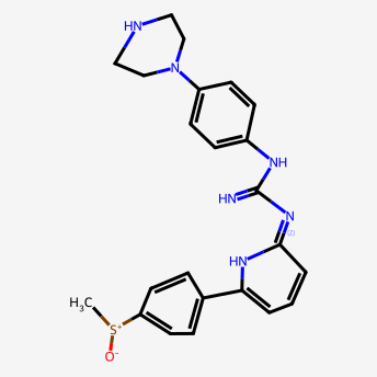 C[S+]([O-])c1ccc(-c2ccc/c(=N/C(=N)Nc3ccc(N4CCNCC4)cc3)[nH]2)cc1